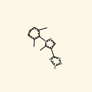 Cc1cccc(C)c1-n1ncc(-c2nn[nH]n2)c1I